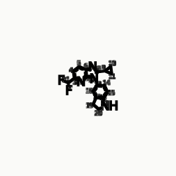 FC(F)c1ccc2nc(C3CC3)n(-c3ccc4c(c3)CCN4)c2n1